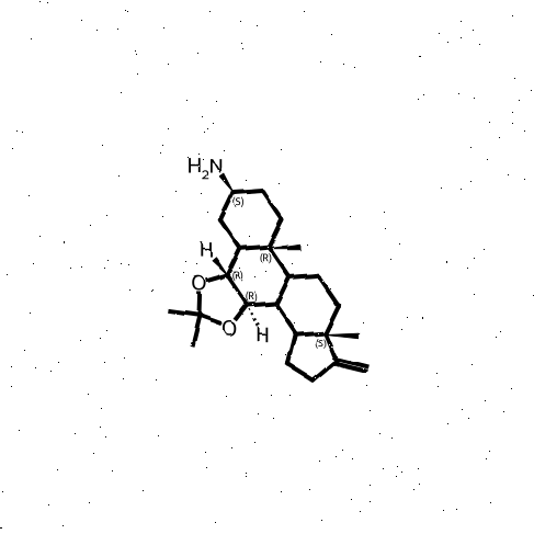 C=C1CCC2C3C(CC[C@]12C)[C@@]1(C)CC[C@H](N)CC1[C@H]1OC(C)(C)O[C@H]31